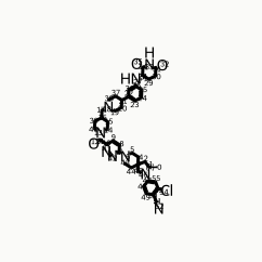 C[C@@H]1CC2(CCN(c3ccc(C(=O)N4CCC(CN5CCC(c6cccc(N[C@H]7CCC(=O)NC7=O)c6)CC5)CC4)nn3)CC2)CN1c1ccc(C#N)c(Cl)c1